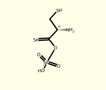 N[C@@H](CS)C(=[Se])O[Se](=O)(=O)O